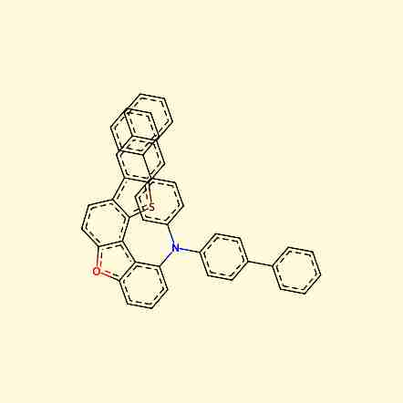 c1ccc(-c2ccc(N(c3ccc(-c4ccccc4)cc3)c3cccc4oc5ccc6c7cc8ccccc8cc7sc6c5c34)cc2)cc1